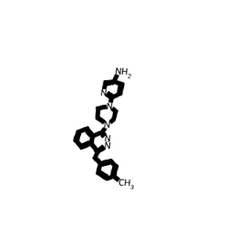 Cc1ccc(Cc2nnc(N3CCN(c4ccc(N)cn4)CC3)c3ccccc23)cc1